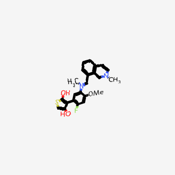 COc1cc(F)c(-c2c(O)csc2O)cc1N(C)Cc1cccc2c1CN(C)C=C2